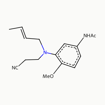 CC=CCN(CCC#N)c1cc(NC(C)=O)ccc1OC